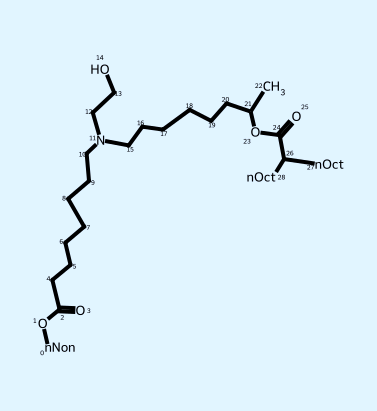 CCCCCCCCCOC(=O)CCCCCCCN(CCO)CCCCCCC(C)OC(=O)C(CCCCCCCC)CCCCCCCC